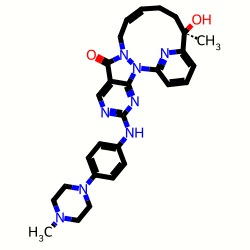 CN1CCN(c2ccc(Nc3ncc4c(=O)n5n(c4n3)-c3cccc(n3)[C@](C)(O)CC/C=C\C5)cc2)CC1